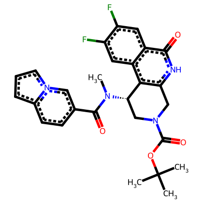 CN(C(=O)c1ccc2cccn2c1)[C@H]1CN(C(=O)OC(C)(C)C)Cc2[nH]c(=O)c3cc(F)c(F)cc3c21